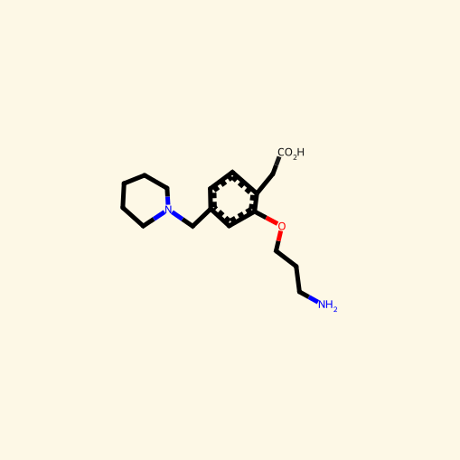 NCCCOc1cc(CN2CCCCC2)ccc1CC(=O)O